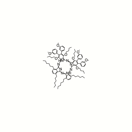 CCCCCCc1ccc(CCCCCC)c2c1-c1nc-2nc2[nH]c(nc3nc(nc4[nH]c(n1)c1c(CCCCCC)ccc(CCCCCC)c41)-c1c(OCCCC)c(-c4cccc(OC)c4)c(-c4cccc(OC)c4)c(OCCCC)c1-3)c1c(OCCCC)c(-c3cccc(OC)c3)c(-c3cccc(OC)c3)c(OCCCC)c21